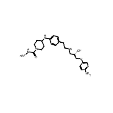 CCCCCCCCNC(=O)N1CCC(Nc2ccc(CCNC[C@H](O)COc3ccc(N)nc3)cc2)CC1